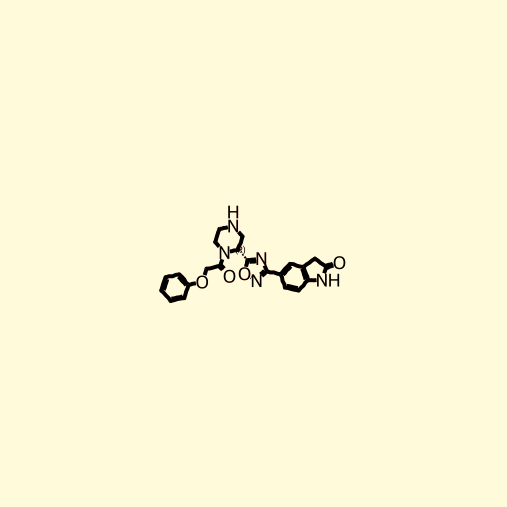 O=C1Cc2cc(-c3noc([C@H]4CNCCN4C(=O)COc4ccccc4)n3)ccc2N1